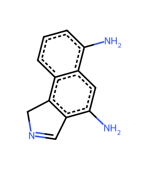 Nc1cc2c(N)cccc2c2c1C=NC2